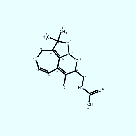 CC1(C)OB2OC(CNC(=O)O)C(Cl)=C3C=COCC1=C23